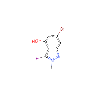 Cn1nc2cc(Br)cc(O)c2c1I